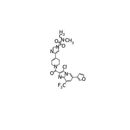 CN(C)S(=O)(=O)n1cnc(C2=CCN(C(=O)c3nc4c(C(F)(F)F)cc(-c5ccoc5)cn4c3Cl)CC2)c1